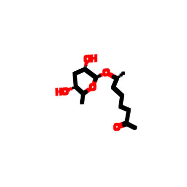 CC(=O)CCCC[C@@H](C)O[C@@H]1OC(C)[C@H](O)C[C@@H]1O